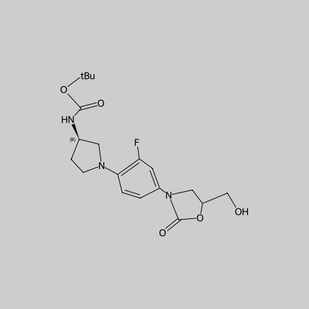 CC(C)(C)OC(=O)N[C@@H]1CCN(c2ccc(N3CC(CO)OC3=O)cc2F)C1